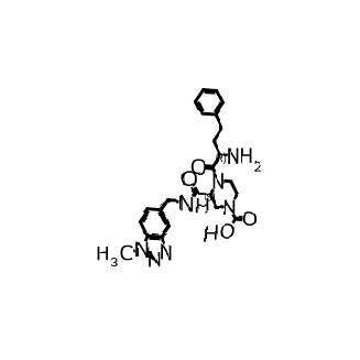 Cn1nnc2cc(CNC(=O)[C@@H]3CN(C(=O)O)CCN3C(=O)[C@H](N)CCc3ccccc3)ccc21